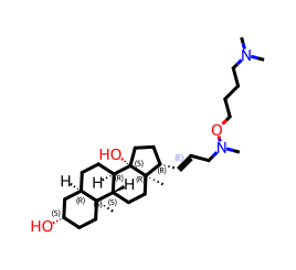 CN(C)CCCCON(C)C/C=C/[C@H]1CC[C@]2(O)[C@@H]3CC[C@@H]4C[C@@H](O)CC[C@]4(C)[C@H]3CC[C@]12C